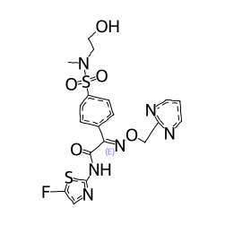 CN(CCO)S(=O)(=O)c1ccc(/C(=N\OCc2ncccn2)C(=O)Nc2ncc(F)s2)cc1